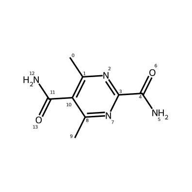 Cc1nc(C(N)=O)nc(C)c1C(N)=O